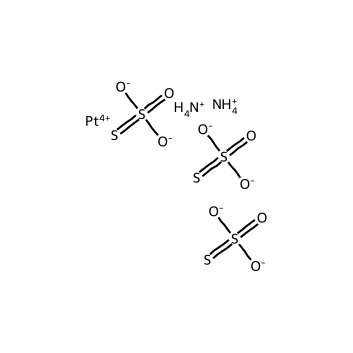 O=S([O-])([O-])=S.O=S([O-])([O-])=S.O=S([O-])([O-])=S.[NH4+].[NH4+].[Pt+4]